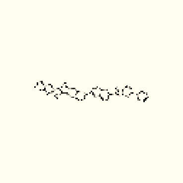 c1ccc(-c2ccc3sc(-c4ccc5cc(-c6ccc7cc8c(cc7c6)sc6c7cc9ccccc9cc7sc86)ccc5c4)cc3c2)cc1